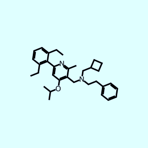 CCc1cccc(CC)c1-c1cc(OC(C)C)c(CN(CCc2ccccc2)CC2CCC2)c(C)n1